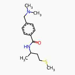 CSCCC(C)NC(=O)c1ccc(CN(C)C)cc1